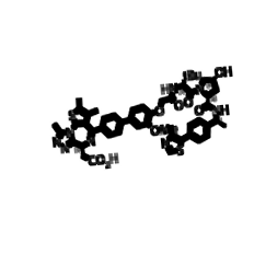 COc1cc(-c2ccc(C3=N[C@@H](CC(=O)O)c4nnc(C)n4-c4sc(C)c(C)c43)cc2)ccc1OCC(=O)N[C@H](C(=O)N1C[C@H](O)C[C@H]1C(=O)N[C@@H](C)c1ccc(-c2scnc2C)cc1)C(C)(C)C